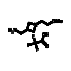 COCCN1CC(CN)C1.O=C(O)C(F)(F)F